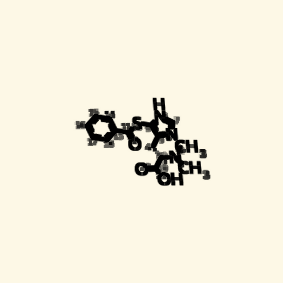 CN(C)[C@@H](Cc1nc[nH]c1SC(=O)c1ccccc1)C(=O)O